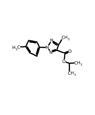 Cc1ccc(-n2nc(C)c(C(=O)OC(C)C)n2)cc1